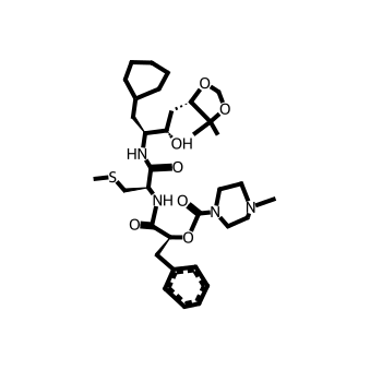 CSC[C@H](NC(=O)[C@H](Cc1ccccc1)OC(=O)N1CCN(C)CC1)C(=O)N[C@@H](CC1CCCCC1)[C@@H](O)C[C@@H]1OCOC1(C)C